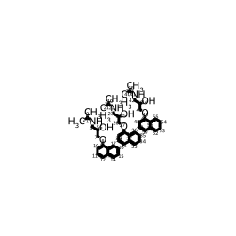 CC(C)NCC(O)COc1cccc2ccccc12.CC(C)NCC(O)COc1cccc2ccccc12.CC(C)NCC(O)COc1cccc2ccccc12